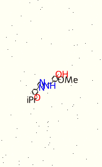 COc1cc(CCNc2nccc(-c3cccc(OC(C)C)c3)n2)ccc1O